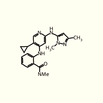 CNC(=O)c1ccccc1Nc1cc(Nc2cc(C)nn2C)ncc1C1CC1